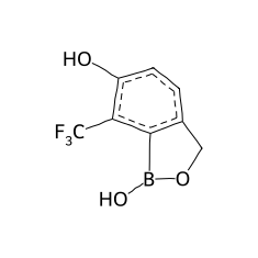 OB1OCc2ccc(O)c(C(F)(F)F)c21